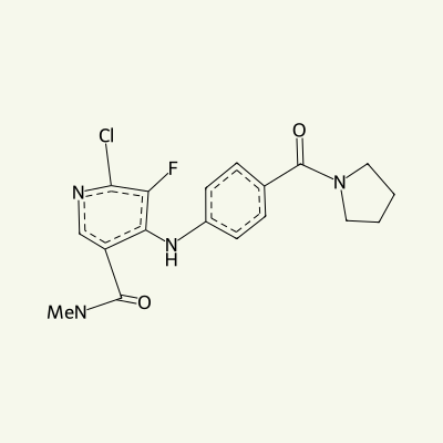 CNC(=O)c1cnc(Cl)c(F)c1Nc1ccc(C(=O)N2CCCC2)cc1